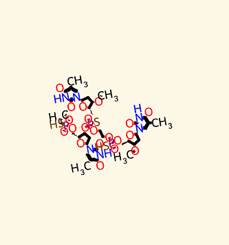 COC1C[C@H](n2cc(C)c(=O)[nH]c2=O)O[C@@H]1COP(=O)(S)OCCOP(=S)(OC[C@@H]1O[C@H](n2cc(C)c(=O)[nH]c2=O)C[C@@H]1OC)OC1C[C@H](n2cc(C)c(=O)[nH]c2=O)O[C@@H]1COP(=O)(S)OC